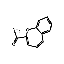 NC(=O)C1=CC=Cc2ccccc2O1